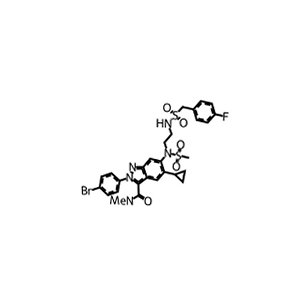 CNC(=O)c1c2cc(C3CC3)c(N(CCNS(=O)(=O)Cc3ccc(F)cc3)S(C)(=O)=O)cc2nn1-c1ccc(Br)cc1